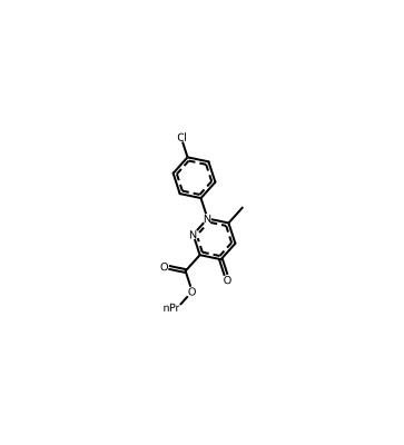 CCCOC(=O)c1nn(-c2ccc(Cl)cc2)c(C)cc1=O